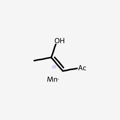 CC(=O)/C=C(/C)O.[Mn]